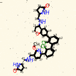 COc1nc(-c2cccc(-c3cccc(-c4ccc5c(c4)OCCC5NCC4CCC(=O)N4)c3Cl)c2Cl)ccc1CNC[C@@H]1CCC(=O)N1